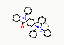 O=C(c1ccccc1)C1(Nc2ccccc2)C=CC(Nc2ccccc2)(c2cccc3c2Nc2ccccc2S3)C=C1